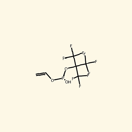 C=COP(O)OC(C(F)(F)F)(C(F)(F)F)C(F)(F)F